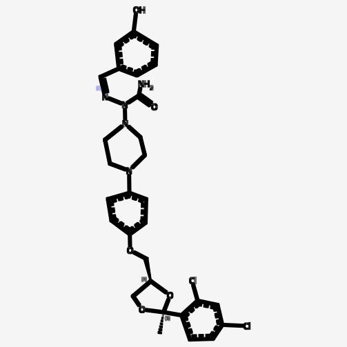 C[C@]1(c2ccc(Cl)cc2Cl)OC[C@@H](COc2ccc(N3CCN(N(/N=C\c4cccc(O)c4)C(N)=O)CC3)cc2)O1